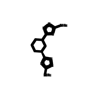 CC(=O)Nc1nnc(C2CCC[C@H](c3nnc(NC(C)=O)s3)C2)s1